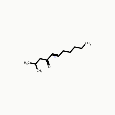 CCCCC/C=C/C(=O)CC(C)C